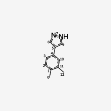 Cc1ccc(-c2cn[nH]c2)cc1C